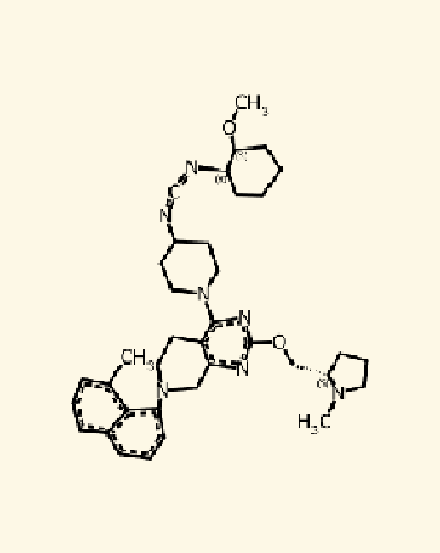 CO[C@H]1CCCC[C@H]1N=C=NC1CCN(c2nc(OC[C@@H]3CCCN3C)nc3c2CCN(c2cccc4cccc(C)c24)C3)CC1